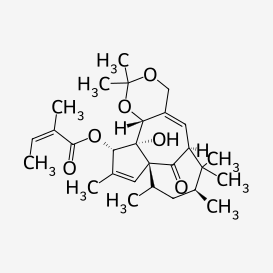 C/C=C(/C)C(=O)O[C@H]1C(C)=C[C@@]23C(=O)[C@@H](C=C4COC(C)(C)O[C@H]4[C@]12O)C(C)(C)[C@@H](C)CC3C